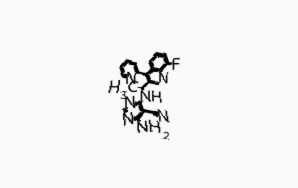 C[C@H](Nc1ncnc(N)c1C#N)c1cnc2c(F)cccc2c1-c1ccccn1